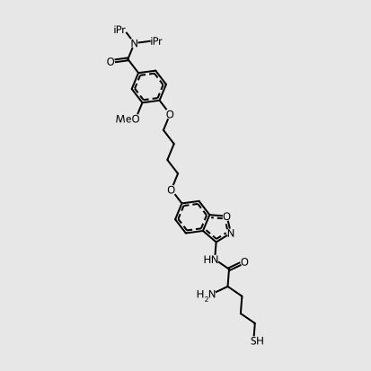 COc1cc(C(=O)N(C(C)C)C(C)C)ccc1OCCCCOc1ccc2c(NC(=O)C(N)CCCS)noc2c1